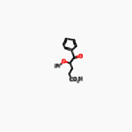 CC(C)OC(CCC(=O)O)C(=O)c1ccccc1